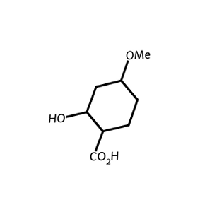 COC1CCC(C(=O)O)C(O)C1